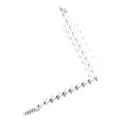 O=P(O)(O)O.O=P(O)(O)O.O=P(O)(O)O.O=P(O)(O)O.O=P(O)(O)O.O=P(O)(O)O.O=P(O)(O)O.O=P(O)(O)O.O=P(O)(O)O.O=P(O)(O)O.O=P(O)(O)O.O=P(O)(O)O.O=P(O)(O)O.O=P(O)(O)O.O=P(O)(O)O.O=P(O)(O)O.O=P([O-])(O)O.O=P([O-])([O-])[O-].O=P([O-])([O-])[O-].O=P([O-])([O-])[O-].[Na+].[Na+].[Na+].[Na+].[Na+].[Na+].[Na+].[Na+].[Na+].[Na+]